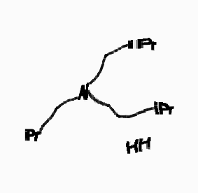 CC(C)[CH2][Al]([CH2]C(C)C)[CH2]C(C)C.[HH]